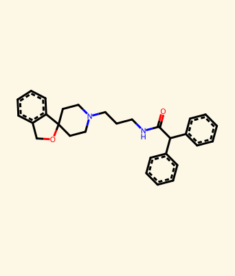 O=C(NCCCN1CCC2(CC1)OCc1ccccc12)C(c1ccccc1)c1ccccc1